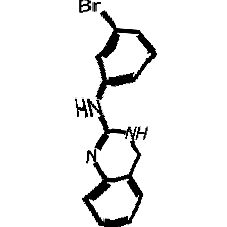 Brc1cccc(NC2=Nc3ccccc3CN2)c1